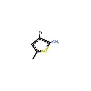 CCc1cc(C)sc1N